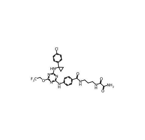 NC(=O)C(=O)NCCCNC(=O)c1ccc(Nc2nc(NC3(c4ccc(Cl)cc4)CC3)nc(OCC(F)(F)F)n2)cc1